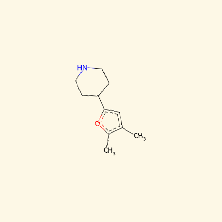 Cc1cc(C2CCNCC2)oc1C